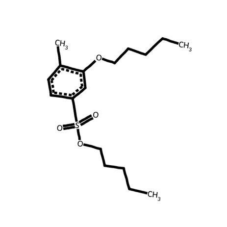 CCCCCOc1cc(S(=O)(=O)OCCCCC)ccc1C